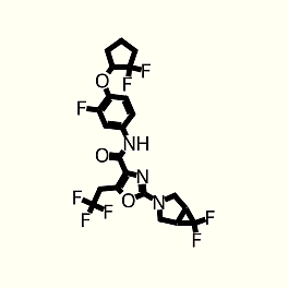 O=C(Nc1ccc(OC2CCCC2(F)F)c(F)c1)c1nc(N2CC3C(C2)C3(F)F)oc1CC(F)(F)F